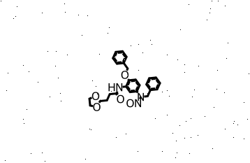 O=NN(Cc1ccccc1)c1ccc(OCc2ccccc2)c(NC(=O)CCC2OCCO2)c1